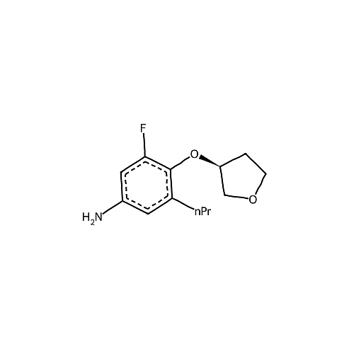 CCCc1cc(N)cc(F)c1O[C@H]1CCOC1